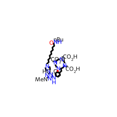 CCCCNC(=O)CCCCCCCCCCN1CCN(c2nc(NC)nc(Nc3ccc(CC4CN(CC(=O)O)CCN(CC(=O)O)CCN(CC(=O)O)CCN4CC(=O)O)cc3)n2)CC1